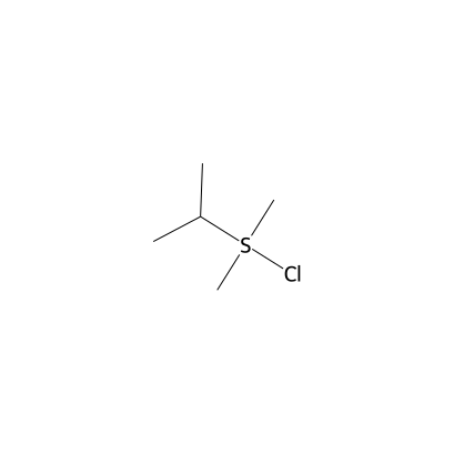 CC(C)S(C)(C)Cl